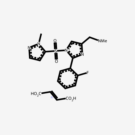 CNCc1cn(S(=O)(=O)c2ccnn2C)c(-c2ccccc2F)n1.O=C(O)/C=C/C(=O)O